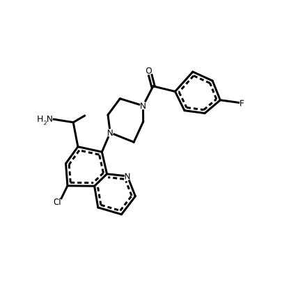 CC(N)c1cc(Cl)c2cccnc2c1N1CCN(C(=O)c2ccc(F)cc2)CC1